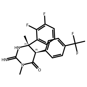 CN1C(=N)N[C@](C)(c2cccc(F)c2F)[C@@H](c2ccc(C(C)(F)F)cc2)C1=O